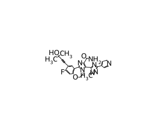 Cn1nc(-c2ccncc2)nc1-c1c(C(N)=O)nc2n1CCOc1cc(F)c(C#CC(C)(C)O)cc1-2